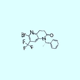 C[C@@H](c1ccccc1)N1C(=O)CCc2nc(Br)c(C(F)(F)F)cc21